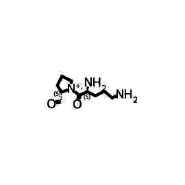 NCCC[C@H](N)C(=O)[N+]1CCC[C@H]1C=O